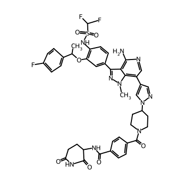 CC(Oc1cc(-c2nn(C)c3c(-c4cnn(C5CCN(C(=O)c6ccc(C(=O)NC7CCC(=O)NC7=O)cc6)CC5)c4)cnc(N)c23)ccc1NS(=O)(=O)C(F)F)c1ccc(F)cc1